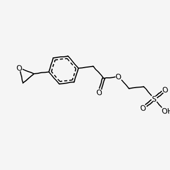 O=C(Cc1ccc(C2CO2)cc1)OCCS(=O)(=O)O